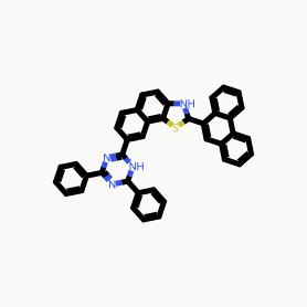 c1ccc(C2=NC(c3ccccc3)NC(c3ccc4ccc5c(c4c3)SC(c3cc4ccccc4c4ccccc34)N5)=N2)cc1